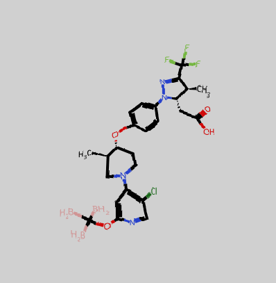 BC(B)(B)Oc1cc(N2CC[C@@H](Oc3ccc(N4N=C(C(F)(F)F)[C@@H](C)[C@@H]4CC(=O)O)cc3)[C@H](C)C2)c(Cl)cn1